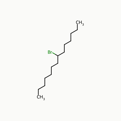 CCCCCCCC(Br)CCCCCC